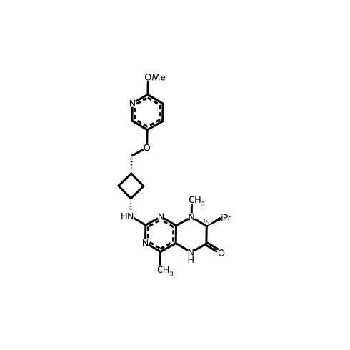 COc1ccc(OC[C@H]2C[C@@H](Nc3nc(C)c4c(n3)N(C)[C@@H](C(C)C)C(=O)N4)C2)cn1